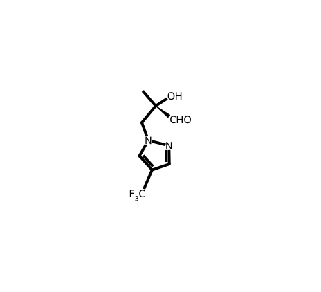 C[C@@](O)(C=O)Cn1cc(C(F)(F)F)cn1